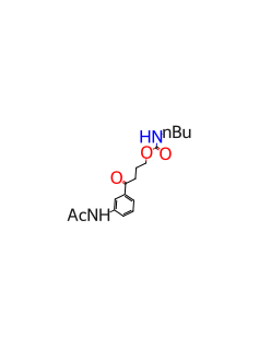 CCCCNC(=O)OCCCC(=O)c1cccc(NC(C)=O)c1